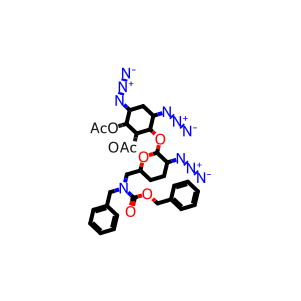 CC(=O)OC1C(N=[N+]=[N-])CC(N=[N+]=[N-])C(OC2OC(CN(Cc3ccccc3)C(=O)OCc3ccccc3)CCC2N=[N+]=[N-])C1OC(C)=O